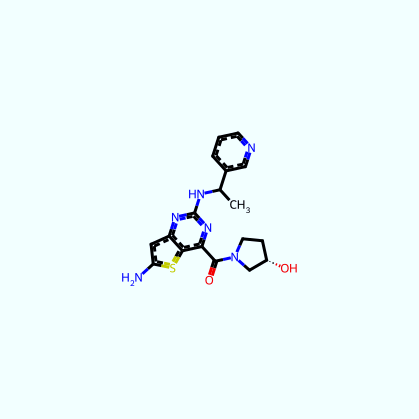 CC(Nc1nc(C(=O)N2CC[C@H](O)C2)c2sc(N)cc2n1)c1cccnc1